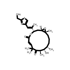 CC(=O)OCc1nc(C=C(C)[C@@H]2C[C@@H]3O[C@]3(C)CCC[C@H](C)[C@H](O)[C@@H](C)C(=O)C(C)(C)/C=C/C(=O)O2)cs1